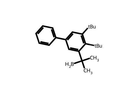 BC(C)(C)c1cc(-c2ccccc2)cc(C(C)(C)C)c1C(C)(C)C